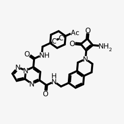 CC(=O)C12CCC(CNC(=O)c3cc(C(=O)NCc4ccc5c(c4)CN(c4c(N)c(=O)c4=O)CC5)nc4ccnn34)(CC1)CC2